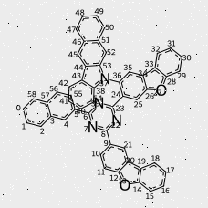 c1ccc2cc(-c3nc(-c4ccc5oc6ccccc6c5c4)nc(-c4cc5oc6ccccc6c5cc4-n4c5ccccc5c5cc6ccccc6cc54)n3)ccc2c1